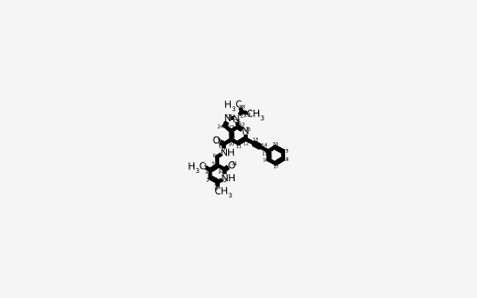 Cc1cc(C)c(CNC(=O)c2cc(C#Cc3ccccc3)nc3c2cnn3C(C)C)c(=O)[nH]1